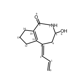 C=C/C=C1\CC(O)NC(=O)C2=C1CCC2